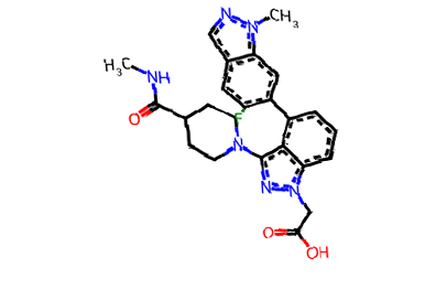 CNC(=O)C1CCN(c2nn(CC(=O)O)c3cccc(-c4cc5c(cnn5C)cc4F)c23)CC1